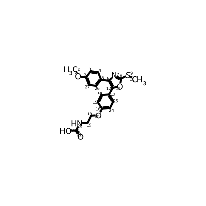 COc1ccc(-c2nc(SC)oc2-c2ccc(OCCNC(=O)O)cc2)cc1